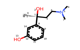 CC(C)[C@](O)(CCN(C)C)c1cccc(O)c1